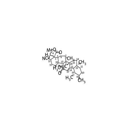 COC(=O)[C@]1(C)C2CC[C@]3(C)C(C(=O)C=C4C5[C@@H](C)[C@H](C)CC[C@]5(C)CC[C@]43C)[C@@]2(C)CC[C@H]1C#N